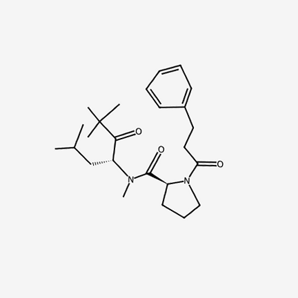 CC(C)C[C@H](C(=O)C(C)(C)C)N(C)C(=O)[C@@H]1CCCN1C(=O)CCc1ccccc1